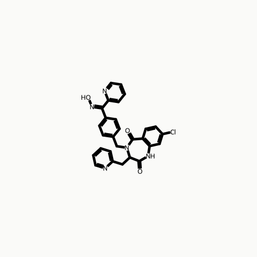 O=C1Nc2cc(Cl)ccc2C(=O)N(Cc2ccc(C(=NO)c3ccccn3)cc2)C1Cc1ccccn1